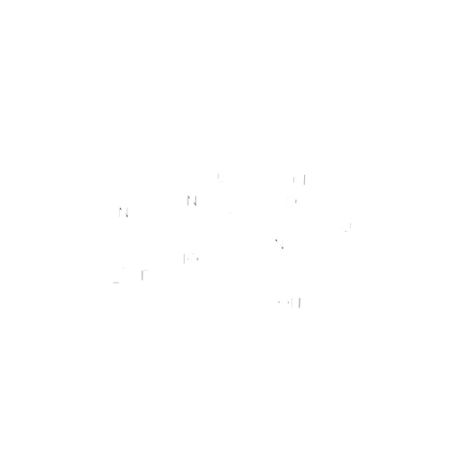 COC1COCCC1N(CCO)C1CC[C@](CCO)(C(=O)N2CCc3ncc(C(F)(F)F)cc3C2)C1